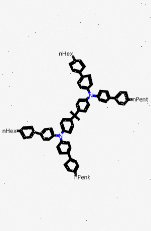 CCCCCCc1ccc(-c2ccc(N(c3ccc(-c4ccc(CCCCC)cc4)cc3)c3ccc(C(C)(C)c4ccc(N(c5ccc(-c6ccc(CCCCC)cc6)cc5)c5ccc(-c6ccc(CCCCCC)cc6)cc5)cc4)cc3)cc2)cc1